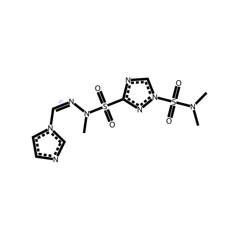 CN(/N=C\n1ccnc1)S(=O)(=O)c1ncn(S(=O)(=O)N(C)C)n1